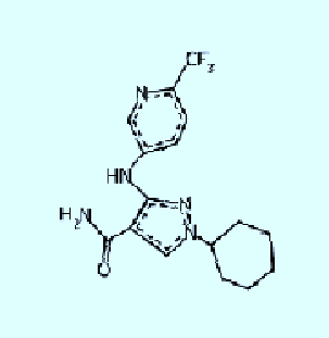 NC(=O)c1cn(C2CCCCC2)nc1Nc1ccc(C(F)(F)F)nc1